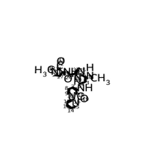 CNc1cc(NC2=CC=CN(c3ccccn3)C2=C=O)nn2c(C(=O)NN3CCN(C)C3=C=O)cnc12